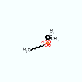 CCCCCCCCCOP(=O)(O)Oc1cccc(C)c1C